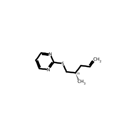 C=CC[C@H](C)CSc1ncccn1